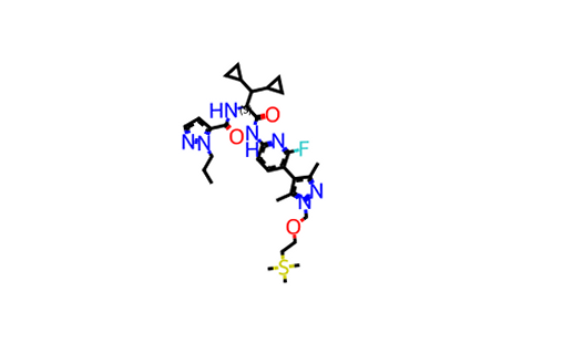 CCCn1nccc1C(=O)N[C@H](C(=O)Nc1ccc(-c2c(C)nn(COCCS(C)(C)C)c2C)c(F)n1)C(C1CC1)C1CC1